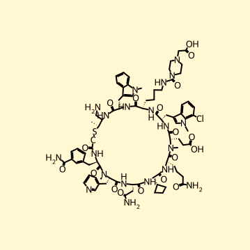 C[C@H]1SCC(=O)N[C@H](Cc2cccc(C(N)=O)c2)C(=O)N(C)[C@@H](Cc2cccnc2)C(=O)N[C@@H](CC(N)=O)C(=O)N[C@@H](C2CCC2)C(=O)N[C@@H](CCCC(N)=O)C(=O)N(C)[C@@H](CCC(=O)O)C(=O)N[C@@H](Cc2cn(C)c3c(Cl)cccc23)C(=O)N[C@@H](CCCCNC(=O)N2CCN(CC(=O)O)CC2)C(=O)N[C@@H](Cc2cn(C)c3ccccc23)C(=O)NC1CN